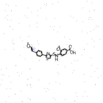 CO/C=C/c1ccc(-c2nc(SNc3ccc(C(=O)O)cc3OC)cs2)cc1